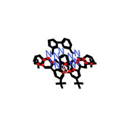 CC(C)(C)c1ccc2c(c1)c1cc(C(C)(C)C)cc3c1n2-c1cc(-n2c4c(-c5nc(-c6ccccc6)nc(-c6ccccc6)n5)cccc4c4cccc(-c5nc(-c6ccccc6)nc(-c6ccccc6)n5)c42)cc2c1B3c1cc(C(C)(C)C)cc3c4cc(C(C)(C)C)ccc4n-2c13